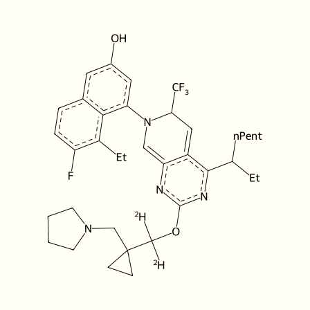 [2H]C([2H])(Oc1nc(C(CC)CCCCC)c2c(n1)=CN(c1cc(O)cc3ccc(F)c(CC)c13)C(C(F)(F)F)C=2)C1(CN2CCCC2)CC1